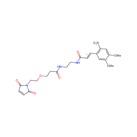 COc1cc(/C=C/C(=O)NCCNC(=O)CCOCCN2C(=O)C=CC2=O)c([N+](=O)[O-])cc1OC